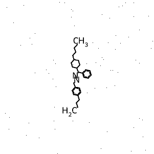 C=CCCc1ccc(C=NN=C(c2ccccc2)C2CCC(CCCCC)CC2)cc1